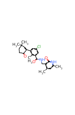 Cc1cc(C)c(CNC(=O)c2cc(Cl)cc(C3=CC(C)(C)CCC3=O)c2C)c(=O)[nH]1